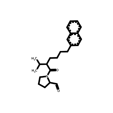 CC(C)C(CCCCc1ccc2ccccc2c1)C(=O)N1CCCC1C=O